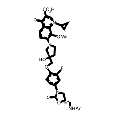 COc1c(N2CCC(O)(COc3ccc(N4C[C@H](CNC(C)=O)OC4=O)cc3F)C2)ccc2c(=O)c(C(=O)O)cn(C3CC3)c12